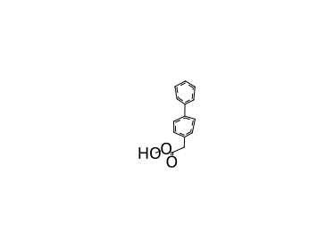 O=C(Cc1ccc(-c2ccccc2)cc1)OO